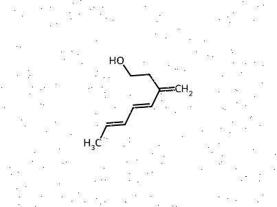 C=C(C=CC=CC)CCO